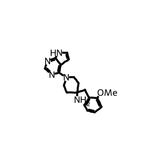 COc1ccccc1CC1(N)CCN(c2ncnc3[nH]ccc23)CC1